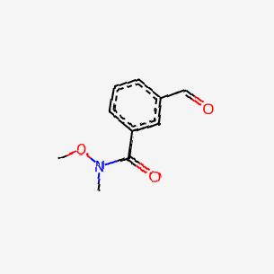 CON(C)C(=O)c1cccc(C=O)c1